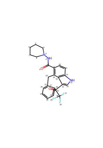 O=C(NN1CCCCC1)c1ccc2[nH]cc(C(=O)C(F)(F)F)c2c1Cc1ccccc1